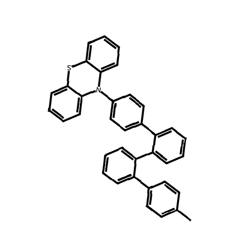 Cc1ccc(-c2ccccc2-c2ccccc2-c2ccc(N3c4ccccc4Sc4ccccc43)cc2)cc1